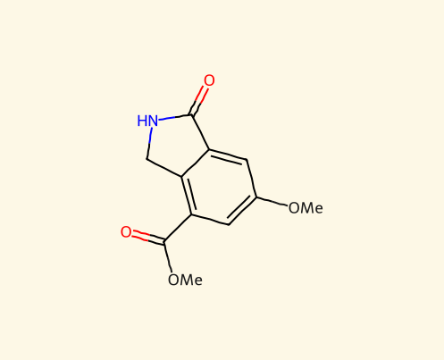 COC(=O)c1cc(OC)cc2c1CNC2=O